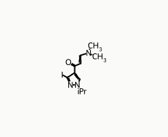 CC(C)n1cc(C(=O)C=CN(C)C)c(I)n1